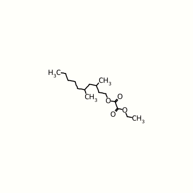 CCCCCC(C)CC(C)CCOC(=O)C(=O)OCC